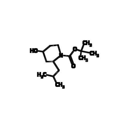 CC(C)CC1CC(O)CCN1C(=O)OC(C)(C)C